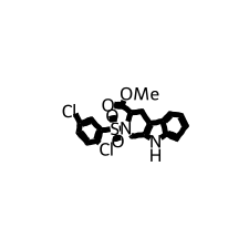 COC(=O)C1Cc2c([nH]c3ccccc23)CN1S(=O)(=O)c1cc(Cl)ccc1Cl